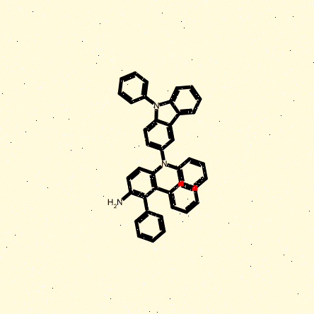 Nc1ccc(N(c2ccccc2)c2ccc3c(c2)c2ccccc2n3-c2ccccc2)c(-c2ccccc2)c1-c1ccccc1